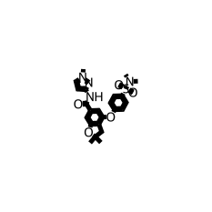 CN(C)S(=O)(=O)c1ccc(Oc2cc(C(=O)Nc3ccn(C)n3)cc3c2CC(C)(C)O3)cc1